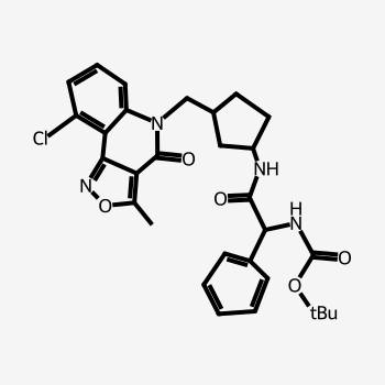 Cc1onc2c1c(=O)n(CC1CCC(NC(=O)C(NC(=O)OC(C)(C)C)c3ccccc3)C1)c1cccc(Cl)c21